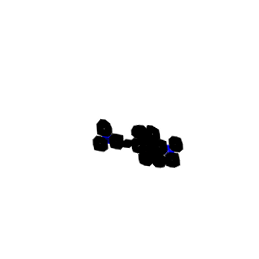 C(=C\c1ccc2c(c1)C(c1ccccc1)(c1ccccc1)C1=C2C(c2ccccc2)(c2ccccc2)c2cc(N(c3ccccc3)c3ccccc3)ccc21)/c1ccc(N(c2ccccc2)c2ccccc2)cc1